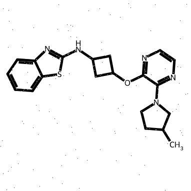 CC1CCN(c2nccnc2OC2CC(Nc3nc4ccccc4s3)C2)C1